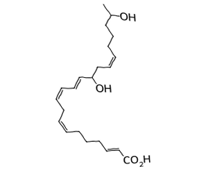 CC(O)CCC/C=C\CC(O)/C=C/C=C\C/C=C\CCCC=CC(=O)O